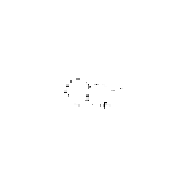 CC1Cc2cccnc2C=N1